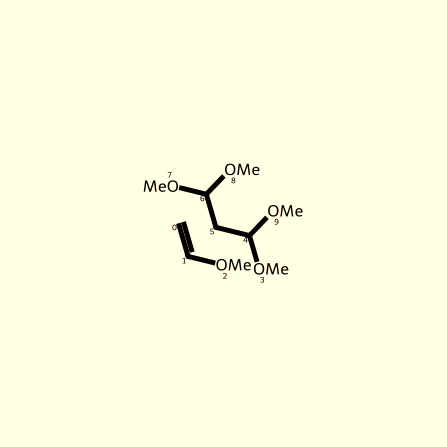 C=COC.COC(CC(OC)OC)OC